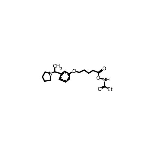 CCC(=O)NOC(=O)CCCCOc1cccc(C(C)N2CCCC2)c1